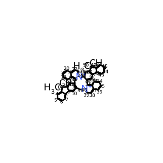 CC1(C)c2ccccc2-c2cc3c(cc21)-c1c2ccccc2cc[n+]1-c1cc2c(cc1-c1c4ccccc4cc[n+]1C3)-c1ccccc1C2(C)C